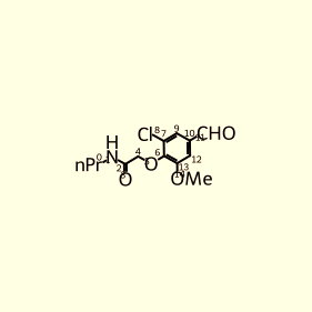 CCCNC(=O)COc1c(Cl)cc(C=O)cc1OC